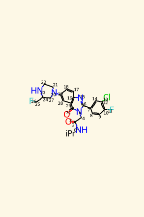 CC(C)NC(=O)Cn1c(-c2ccc(F)c(Cl)c2)nc2ccc(N3CCNC(CF)C3)cc2c1=O